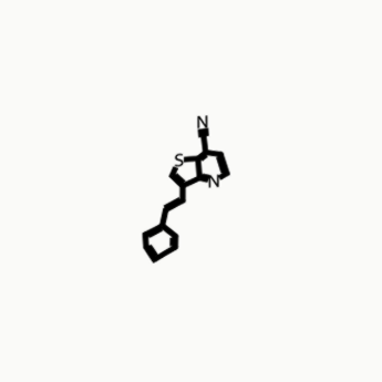 N#Cc1ccnc2c(/C=C/c3ccccc3)csc12